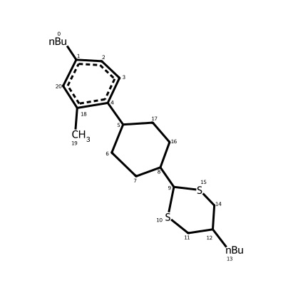 CCCCc1ccc(C2CCC(C3SCC(CCCC)CS3)CC2)c(C)c1